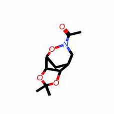 CC(=O)N1CC2CC(O1)C1OC(C)(C)OC21